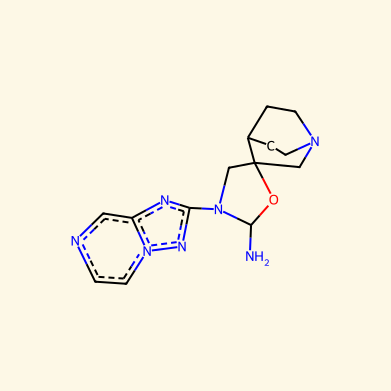 NC1OC2(CN3CCC2CC3)CN1c1nc2cnccn2n1